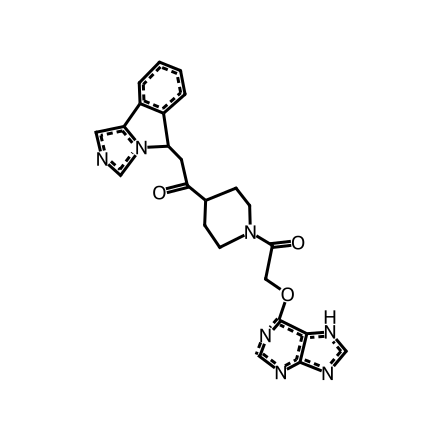 O=C(CC1c2ccccc2-c2cncn21)C1CCN(C(=O)COc2ncnc3nc[nH]c23)CC1